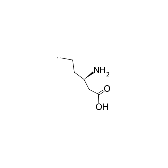 [CH2]CC[C@@H](N)CC(=O)O